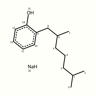 CC(C)CCCC(C)Cc1ccccc1O.[NaH]